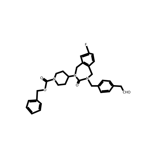 O=CCc1ccc(CN2Cc3ccc(F)cc3CN(C3CCN(C(=O)OCc4ccccc4)CC3)C2=O)cc1